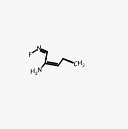 CC/C=C(N)\C=N/F